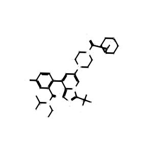 CCN(C(=O)c1cc(F)ccc1-c1cc(N2CCN(C(=O)C3NC4CCC3CC4)CC2)cn2c(C(F)(F)F)ncc12)C(C)C